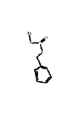 CCOS(=O)OCc1ccccc1